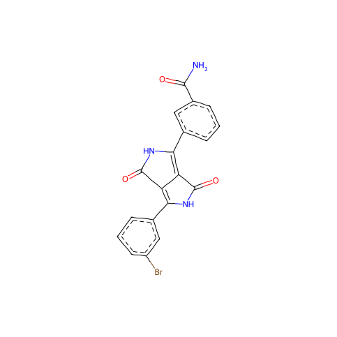 NC(=O)c1cccc(C2=C3C(=O)NC(c4cccc(Br)c4)=C3C(=O)N2)c1